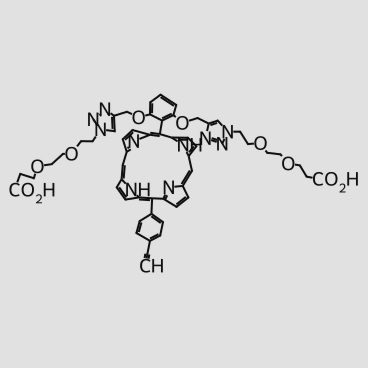 C#Cc1ccc(-c2c3nc(cc4ccc([nH]4)c(-c4c(OCc5cn(CCOCCOCCC(=O)O)nn5)cccc4OCc4cn(CCOCCOCCC(=O)O)nn4)c4nc(cc5ccc2[nH]5)C=C4)C=C3)cc1